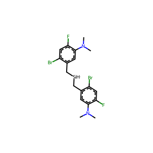 CN(C)c1cc(C[SiH]Cc2cc(N(C)C)c(F)cc2Br)c(Br)cc1F